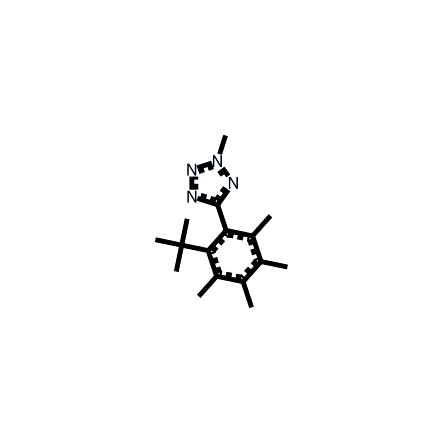 Cc1c(C)c(C)c(C(C)(C)C)c(-c2nnn(C)n2)c1C